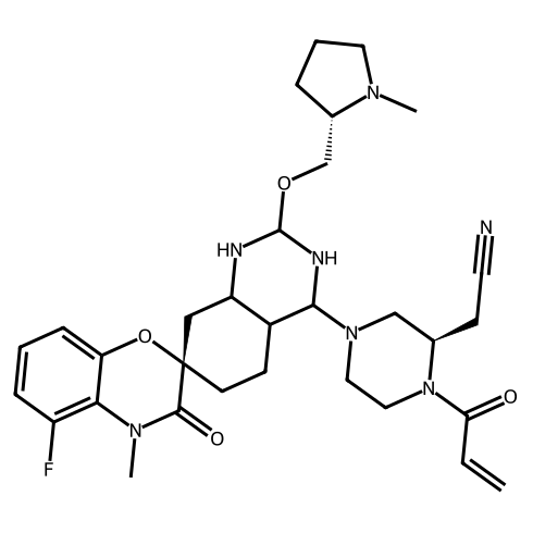 C=CC(=O)N1CCN(C2NC(OC[C@@H]3CCCN3C)NC3C[C@]4(CCC32)Oc2cccc(F)c2N(C)C4=O)C[C@H]1CC#N